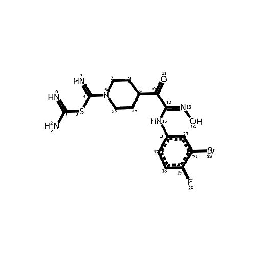 N=C(N)SC(=N)N1CCC(C(=O)/C(=N/O)Nc2ccc(F)c(Br)c2)CC1